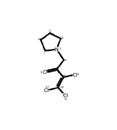 O=C(CN1CCCC1)C(Cl)=C(Cl)Cl